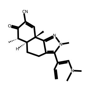 C=C/C(=C\N(C)C)c1c2c(nn1C)[C@@]1(C)C=C(C#N)C(=O)[C@@H](C)[C@@H]1CC2